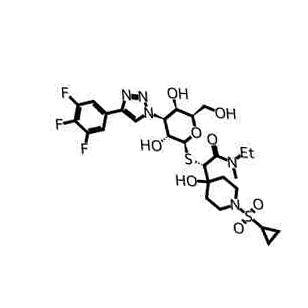 CCN(C)C(=O)[C@@H](S[C@@H]1O[C@H](CO)[C@H](O)[C@H](n2cc(-c3cc(F)c(F)c(F)c3)nn2)[C@H]1O)C1(O)CCN(S(=O)(=O)C2CC2)CC1